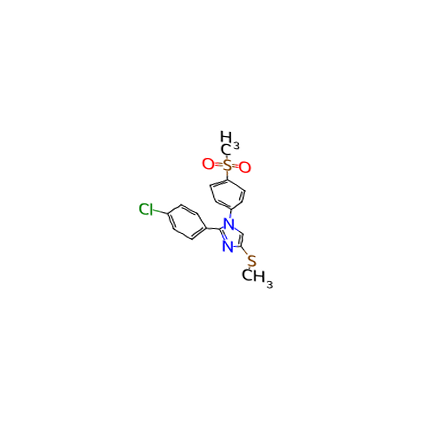 CSc1cn(-c2ccc(S(C)(=O)=O)cc2)c(-c2ccc(Cl)cc2)n1